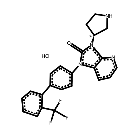 Cl.O=c1n(-c2ccc(-c3ccccc3C(F)(F)F)cc2)c2cccnc2n1[C@H]1CCNC1